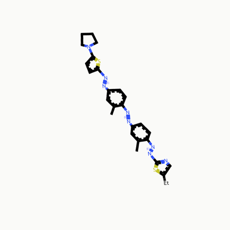 CCc1cnc(/N=N/c2ccc(/N=N/c3ccc(/N=N/c4ccc(N5CCCC5)s4)cc3C)cc2C)s1